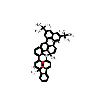 CC1C=CC2(C)C3=C1C(C)(N(c1ccc4c(c1)C(C)(C)c1ccccc1-4)c1ccccc1-c1ccccc1)C=CC3(C)c1cc(C(C)(C)C)cc3cc(C(C)(C)C)cc2c13